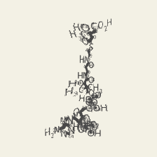 CC(C)(COP(=O)(O)OP(=O)(O)OCC1OC(n2cnc3c(N)ncnc32)C(O)C1OP(=O)(O)O)C(O)C(=O)NCCC(=O)NCCSC(=O)C[C@@](C)(O)CC(=O)O